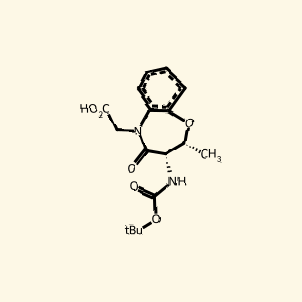 C[C@H]1Oc2ccccc2N(CC(=O)O)C(=O)[C@H]1NC(=O)OC(C)(C)C